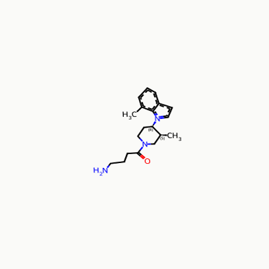 Cc1cccc2ccn([C@@H]3CCN(C(=O)CCCN)C[C@@H]3C)c12